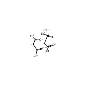 CCC(=O)CC(=O)CC.CCC(=O)CC(=O)CC.[Pt+2]